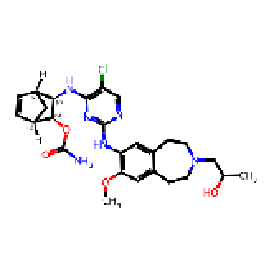 COc1cc2c(cc1Nc1ncc(Cl)c(N[C@H]3[C@@H](OC(N)=O)[C@@H]4C=C[C@H]3C4)n1)CCN(CC(C)O)CC2